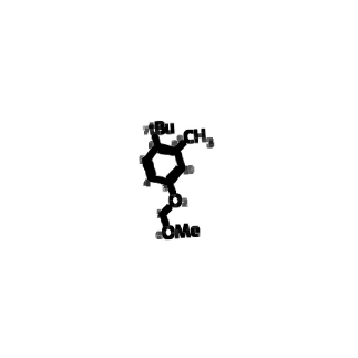 COCOc1ccc(C(C)(C)C)c(C)c1